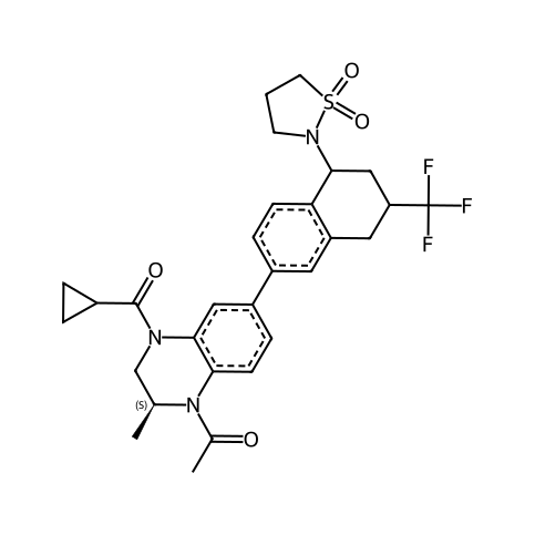 CC(=O)N1c2ccc(-c3ccc4c(c3)CC(C(F)(F)F)CC4N3CCCS3(=O)=O)cc2N(C(=O)C2CC2)C[C@@H]1C